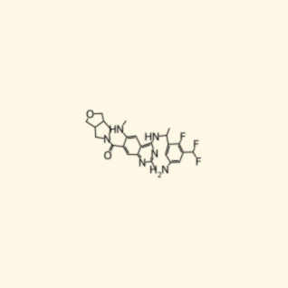 CNc1cc2c(NC(C)c3cc(N)cc(C(F)F)c3F)nc(C)nc2cc1C(=O)N1CC2COCC2C1